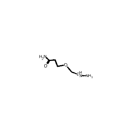 NNCCOCCC(N)=O